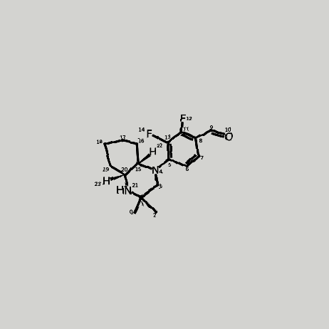 CC1(C)CN(c2ccc(C=O)c(F)c2F)[C@H]2CCCC[C@H]2N1